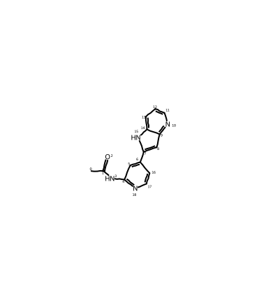 CC(=O)Nc1cc(-c2cc3ncccc3[nH]2)ccn1